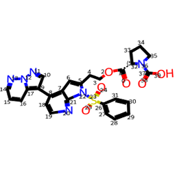 O=C(OCCc1cc2c(-c3cnn4ncccc34)ccnc2n1S(=O)(=O)c1ccccc1)[C@@H]1CCCN1C(=O)O